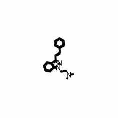 CN(C)CCn1nc(/C=C/c2ccccc2)c2ccccc21